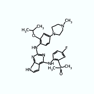 CC(C)Oc1cc(N2CCN(C)CC2)ccc1Nc1nc(Nc2ccc(F)cc2P(C)(C)=O)c2cc[nH]c2n1